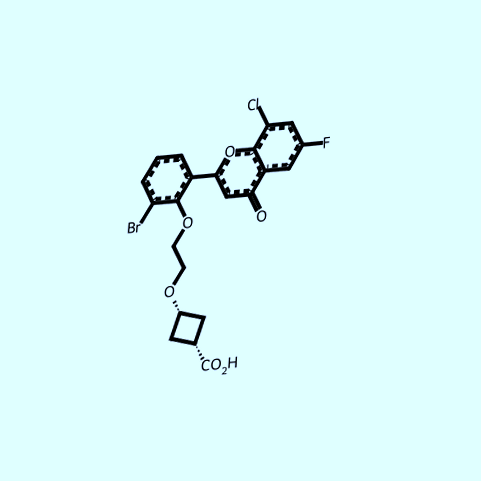 O=c1cc(-c2cccc(Br)c2OCCO[C@H]2C[C@@H](C(=O)O)C2)oc2c(Cl)cc(F)cc12